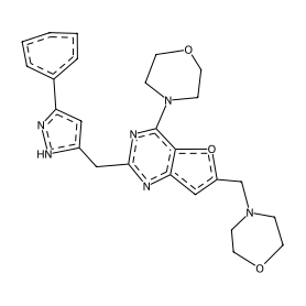 c1ccc(-c2cc(Cc3nc(N4CCOCC4)c4oc(CN5CCOCC5)cc4n3)[nH]n2)cc1